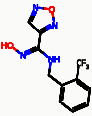 ON=C(NCc1ccccc1C(F)(F)F)c1cnon1